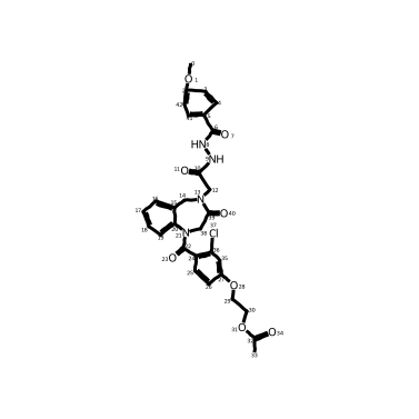 COc1ccc(C(=O)NNC(=O)CN2Cc3ccccc3N(C(=O)c3ccc(OCCOC(C)=O)cc3Cl)CC2=O)cc1